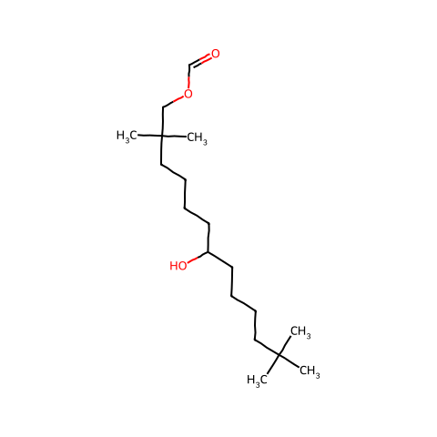 CC(C)(C)CCCCC(O)CCCCC(C)(C)COC=O